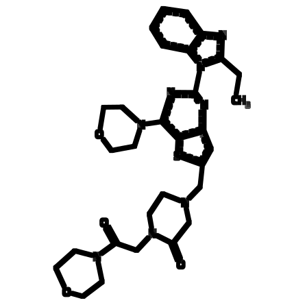 CCc1nc2ccccc2n1-c1nc(N2CCOCC2)c2sc(CN3CCN(CC(=O)N4CCOCC4)C(=O)C3)cc2n1